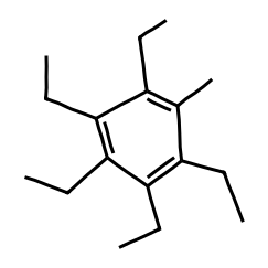 CCc1c(C)c(CC)c(CC)c(CC)c1CC